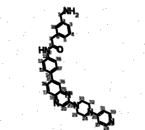 NCc1cccc(CC(=O)Nc2ccc(-c3ccc4ncc(N5CCN(c6ccncc6)CC5)nc4c3)cc2)c1